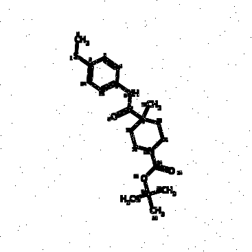 CSc1ccc(NC(=O)C2(C)CCN(C(=O)OC(C)(C)C)CC2)cc1